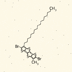 CCCCCCCCCCCCCCCCCc1c(Br)sc2c1sc1c3sc(Br)c(C)c3sc21